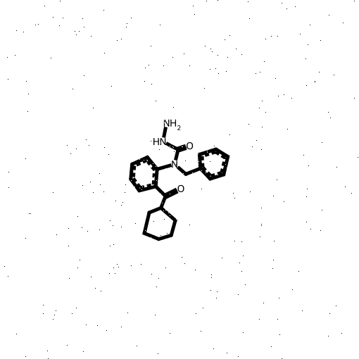 NNC(=O)N(Cc1ccccc1)c1ccccc1C(=O)C1CCCCC1